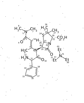 CC(=CC(=O)N(C)C)N(C(=O)C(N)c1ccccc1)[C@@H]1C(=O)N2[C@@H]1SC(C)(C)[C@@H]2C(=O)O.CCN(CC)CC